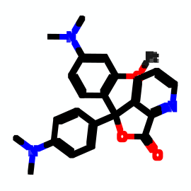 CCOc1cc(N(C)C)ccc1C1(c2ccc(N(C)C)cc2)OC(=O)c2ncccc21